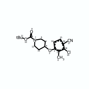 Cc1c(OC2CCN(C(=O)OC(C)(C)C)CC2)ccc(C#N)c1Cl